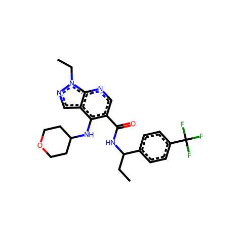 CCC(NC(=O)c1cnc2c(cnn2CC)c1NC1CCOCC1)c1ccc(C(F)(F)F)cc1